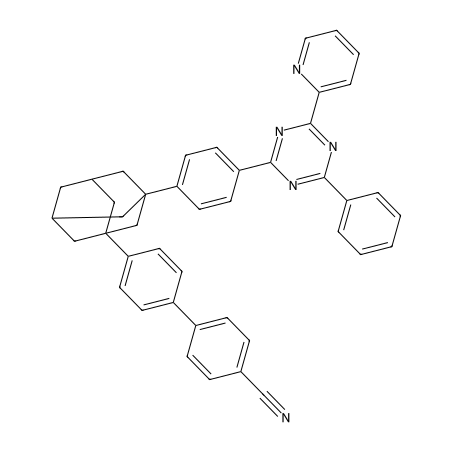 N#Cc1ccc(-c2ccc(C34CC5CC(C3)CC(c3ccc(-c6nc(-c7ccccc7)nc(-c7ccccn7)n6)cc3)(C5)C4)cc2)cc1